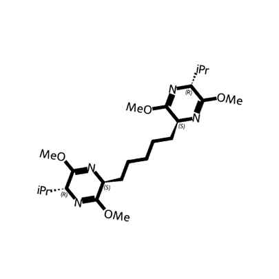 COC1=N[C@H](C(C)C)C(OC)=N[C@H]1CCCCC[C@@H]1N=C(OC)[C@@H](C(C)C)N=C1OC